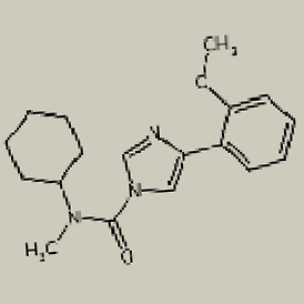 COc1ccccc1-c1cn(C(=O)N(C)C2CCCCC2)cn1